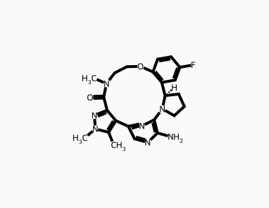 Cc1c2c(nn1C)C(=O)N(C)CCOc1ccc(F)cc1[C@H]1CCCN1c1nc-2cnc1N